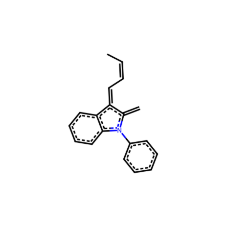 C=c1/c(=C\C=C/C)c2ccccc2n1-c1ccccc1